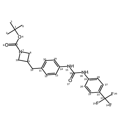 CC(C)(C)OC(=O)N1CC(Cc2ccc(NC(=O)Nc3ccc(C(F)(F)F)cc3)cc2)C1